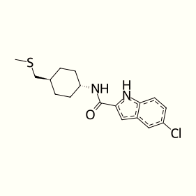 CSC[C@H]1CC[C@H](NC(=O)c2cc3cc(Cl)ccc3[nH]2)CC1